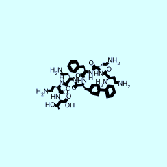 C[C@@H](O)[C@H](NC(=O)[C@H](CCN)NC(=O)[C@H](CCN)NC(=O)[C@H](Cc1ccc(-c2ccccc2)cc1)NC(=O)[C@@H](Cc1ccccc1)NC(=O)[C@H](CCN)NC(=O)[C@@H](N)CCN)C(=O)O